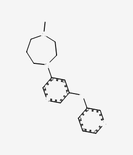 CN1CCCN(c2cncc(Oc3cccnc3)c2)CC1